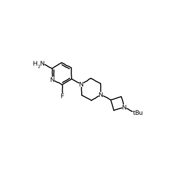 CC(C)(C)N1CC(N2CCN(c3ccc(N)nc3F)CC2)C1